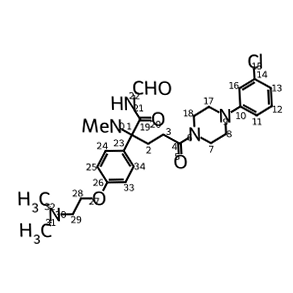 CNC(CCC(=O)N1CCN(c2cccc(Cl)c2)CC1)(C(=O)NC=O)c1ccc(OCCN(C)C)cc1